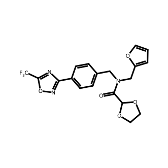 O=C(C1OCCO1)N(Cc1ccc(-c2noc(C(F)(F)F)n2)cc1)Cc1ccco1